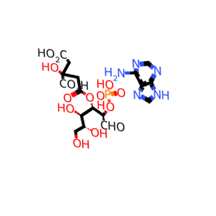 Nc1ncnc2[nH]cnc12.O=C[C@H](OP(=O)(O)O)[C@@H](OC(=O)CC(O)(CC(=O)O)C(=O)O)[C@H](O)[C@H](O)CO